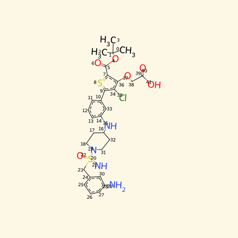 CC(C)(C)OC(=O)c1sc(-c2cccc(NC3CCN(S(=N)(=O)Cc4cccc(N)c4)CC3)c2)c(Cl)c1OCC(=O)O